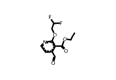 CCOC(=O)c1c(C=O)ccnc1OCC(F)F